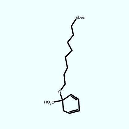 CCCCCCCCCCCCCCCCCCOC1(C(=O)O)C=CC=CC1